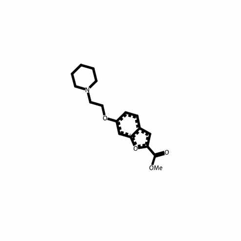 COC(=O)c1cc2ccc(OCCN3CCCCC3)cc2o1